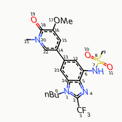 CCCCn1c(C(F)(F)F)nc2c(NS(C)(=O)=O)cc(-c3cc(OC)c(=O)n(C)c3)cc21